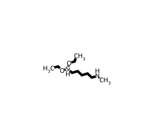 CCO[SiH](CCCCCNC)OCC